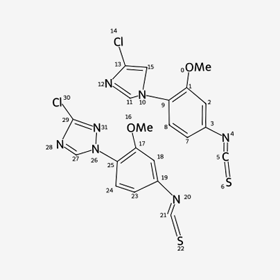 COc1cc(N=C=S)ccc1-n1cnc(Cl)c1.COc1cc(N=C=S)ccc1-n1cnc(Cl)n1